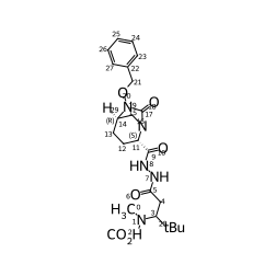 CN(C(=O)O)C(CC(=O)NNC(=O)[C@@H]1CC[C@@H]2CN1C(=O)N2OCc1ccccc1)C(C)(C)C